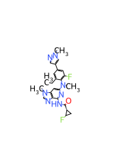 CCc1cc(-c2cnn(C)c2)cc(F)c1N(C)c1cc2c(ncn2C)c(NC(=O)[C@H]2C[C@H]2F)n1